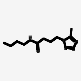 CCCCNC(=O)CCCn1nnnc1C